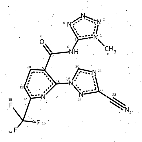 Cn1nnnc1NC(=O)c1ccc(C(F)(F)F)nc1-n1cnc(C#N)n1